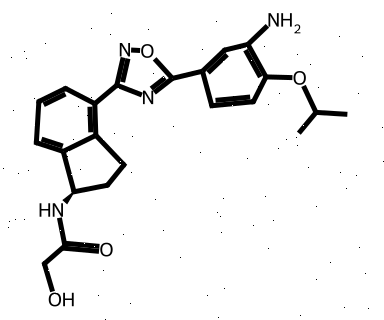 CC(C)Oc1ccc(-c2nc(-c3cccc4c3CC[C@H]4NC(=O)CO)no2)cc1N